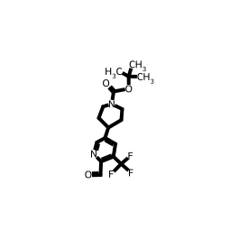 CC(C)(C)OC(=O)N1CCC(c2cnc(C=O)c(C(F)(F)F)c2)CC1